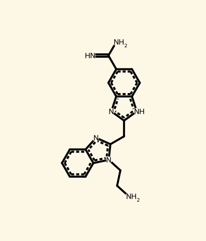 N=C(N)c1ccc2[nH]c(Cc3nc4ccccc4n3CCN)nc2c1